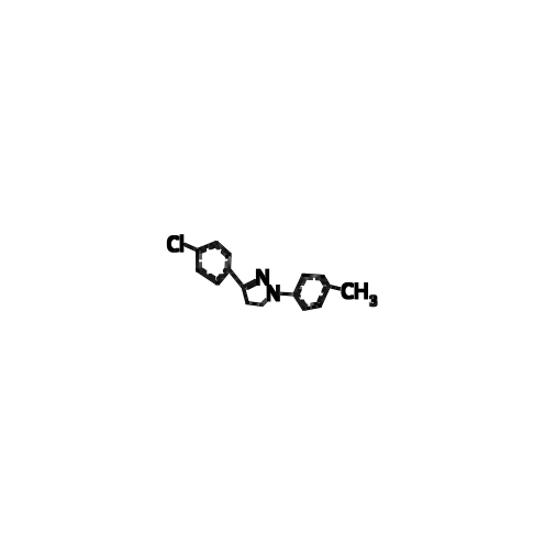 Cc1ccc(N2CCC(c3ccc(Cl)cc3)=N2)cc1